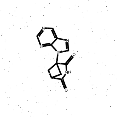 O=C1NC(=O)C2(n3cnc4cncnc43)CC1C2